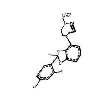 CC1(c2ccc(Cl)cc2F)Oc2cccc(N3C=NN(C=O)CC3)c2O1